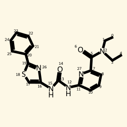 CCN(CC)C(=O)c1cccc(NC(=O)Nc2csc(-c3ccccc3)n2)n1